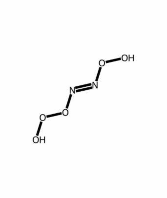 OO/N=N/OOO